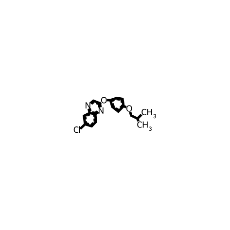 CC(C)COc1ccc(Oc2cnc3cc(Cl)ccc3n2)cc1